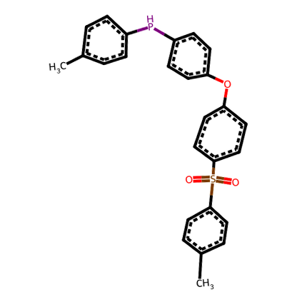 Cc1ccc(Pc2ccc(Oc3ccc(S(=O)(=O)c4ccc(C)cc4)cc3)cc2)cc1